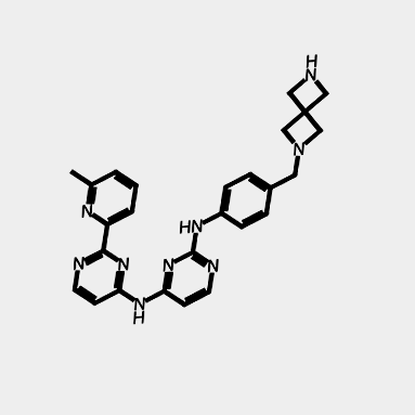 Cc1cccc(-c2nccc(Nc3ccnc(Nc4ccc(CN5CC6(CNC6)C5)cc4)n3)n2)n1